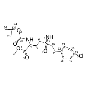 COC(=O)[C@H](CCS(=N)(=O)CCc1ccc(Cl)cc1)NC(=O)OC(C)(C)C